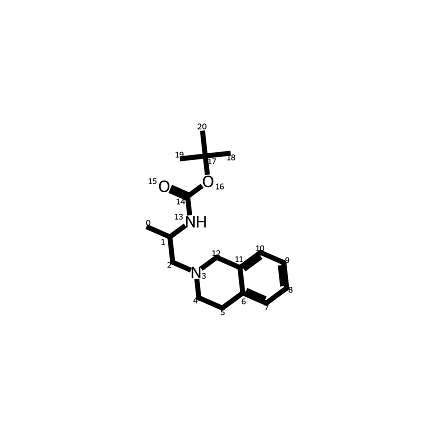 CC(CN1CCc2ccccc2C1)NC(=O)OC(C)(C)C